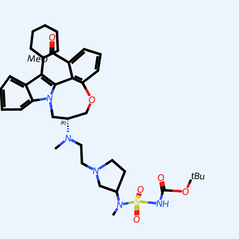 COC(=O)c1cccc2c1-c1c(C3CCCCC3)c3ccccc3n1C[C@@H](N(C)CCN1CCC(N(C)S(=O)(=O)NC(=O)OC(C)(C)C)C1)CO2